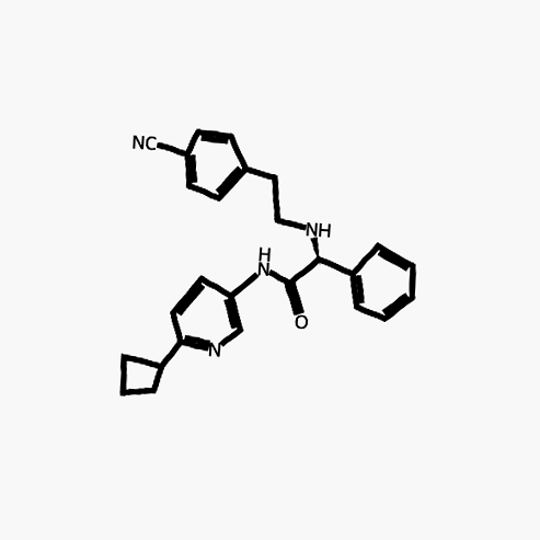 N#Cc1ccc(CCN[C@H](C(=O)Nc2ccc(C3CCC3)nc2)c2ccccc2)cc1